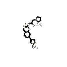 C[C@H]1CCCN1CC(=O)Nc1ncc2ccc(-c3cnn(C)c3)cc2n1